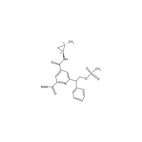 CNC(=O)c1cc(C(=O)N[C@H]2C[C@@H]2C)cc(C(COS(C)(=O)=O)c2ccccc2)n1